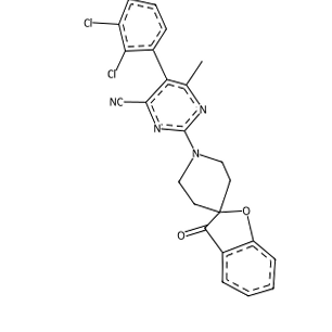 Cc1nc(N2CCC3(CC2)Oc2ccccc2C3=O)nc(C#N)c1-c1cccc(Cl)c1Cl